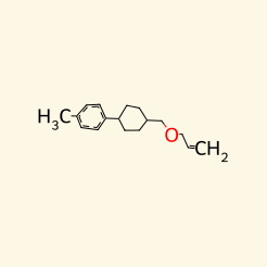 C=CCOCC1CCC(c2ccc(C)cc2)CC1